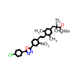 COC(=O)C(C)(C)Cc1cc(C)c(C=Cc2ccc(-c3nnc(-c4ccc(Cl)cc4)o3)cc2[N+](=O)[O-])c(C)c1